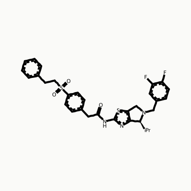 CC(C)[C@H]1c2nc(NC(=O)Cc3ccc(S(=O)(=O)CCc4ccccc4)cc3)sc2CN1Cc1ccc(F)c(F)c1